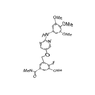 CNC(=O)c1cc(COc2cnc(Nc3cc(OC)c(OC)c(OC)c3)nc2)c(F)c(OC)c1